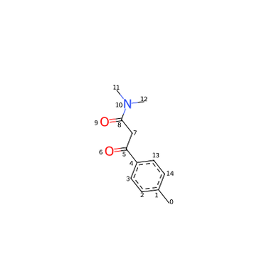 Cc1ccc(C(=O)CC(=O)N(C)C)cc1